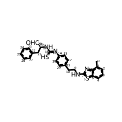 Cc1cccc2sc(NCCc3ccc(/N=C(\S)N[C@H](C=O)Cc4ccccc4)cc3)nc12